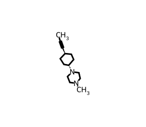 CC#C[C@H]1CC[C@H](N2CCN(C)CC2)CC1